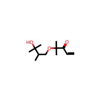 C=CC(=O)C(C)(C)OCC(C)C(C)(C)O